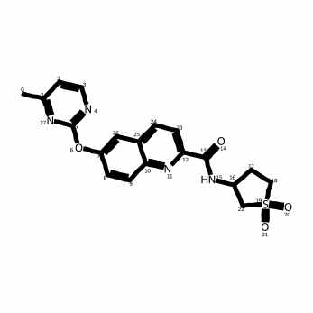 Cc1ccnc(Oc2ccc3nc(C(=O)NC4CCS(=O)(=O)C4)ccc3c2)n1